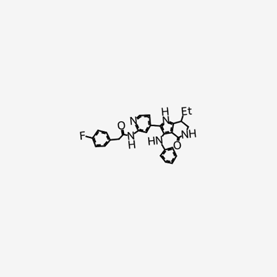 CCC1CNC(=O)c2c1[nH]c(-c1ccnc(NC(=O)Cc3ccc(F)cc3)c1)c2Nc1ccccc1